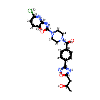 CC(=O)Cc1nc(-c2ccc(C(=O)N3CCN(c4nc5nc(Cl)ccc5o4)CC3)cc2)no1